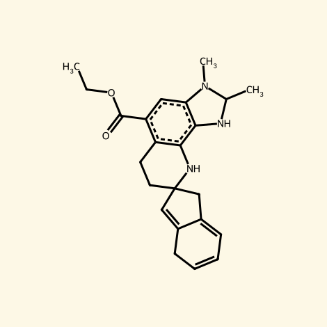 CCOC(=O)c1cc2c(c3c1CCC1(C=C4CC=CC=C4C1)N3)NC(C)N2C